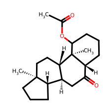 CC(=O)OC1CCC[C@@H]2C(=O)C[C@H]3[C@@H]4CCC[C@@]4(C)CC[C@@H]3[C@@]12C